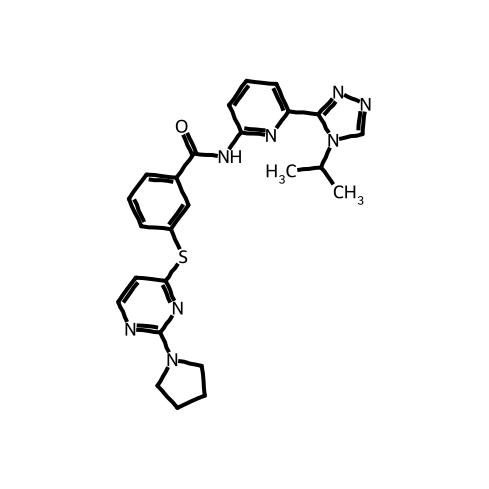 CC(C)n1cnnc1-c1cccc(NC(=O)c2cccc(Sc3ccnc(N4CCCC4)n3)c2)n1